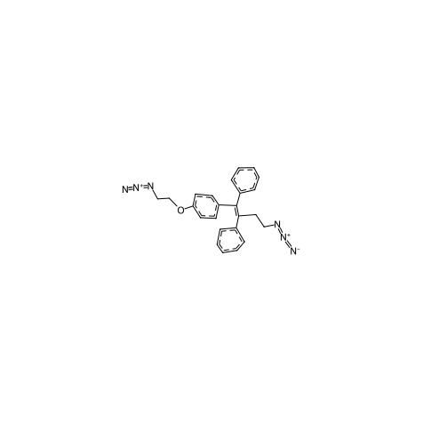 [N-]=[N+]=NCCOc1ccc(/C(=C(/CCN=[N+]=[N-])c2ccccc2)c2ccccc2)cc1